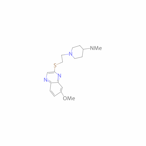 CNC1CCN(CCSc2cnc3ccc(OC)cc3n2)CC1